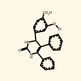 CCOc1cc(C2NC(=O)NC(c3ccccc3)=C2c2ccccc2)ccc1C(=O)O